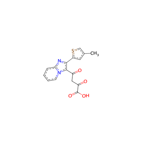 Cc1csc(-c2nc3ccccn3c2C(=O)CC(=O)C(=O)O)c1